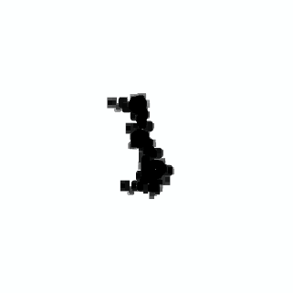 COC(=O)c1c(C(F)(F)F)[nH]c2c1C13CC1CN(C(=O)c1cc4cc(NC(=O)c5cc6cccc(OC)c6o5)ccc4[nH]1)C3=CC2=O